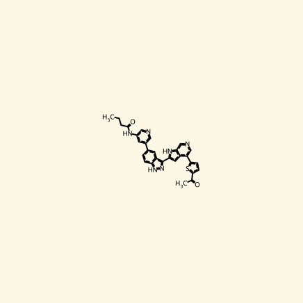 CCCC(=O)Nc1cncc(-c2ccc3[nH]nc(-c4cc5c(-c6ccc(C(C)=O)s6)cncc5[nH]4)c3c2)c1